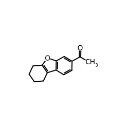 CC(=O)c1ccc2c3c(oc2c1)CCCC3